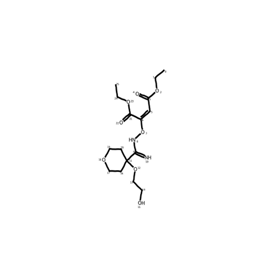 CCOC(=O)/C=C(/ONC(=N)C1(OCCO)CCOCC1)C(=O)OCC